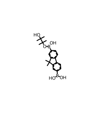 CC1(C)c2cc(B(O)O)ccc2-c2ccc(B(O)OC(C)(C)C(C)(C)O)cc21